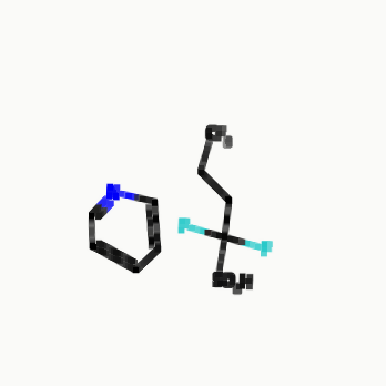 O=S(=O)(O)C(F)(F)CCC(F)(F)F.c1ccncc1